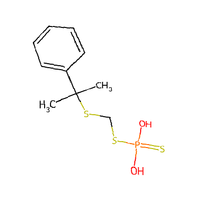 CC(C)(SCSP(O)(O)=S)c1ccccc1